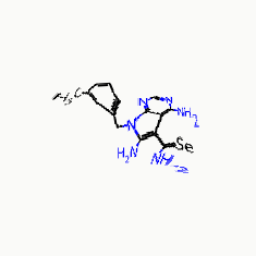 Cc1cccc(Cn2c(N)c(C(N)=[Se])c3c(N)ncnc32)c1